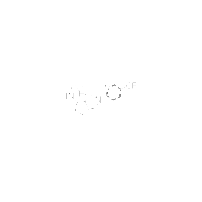 O=C(O)N[C@H]1CC[C@@H]2CN(c3ccc(C(F)(F)F)cn3)C[C@@H]21